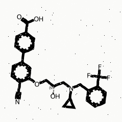 N#Cc1ccc(-c2ccc(C(=O)O)cc2)cc1OC[C@@H](O)CN(Cc1ccccc1C(F)(F)F)C1CC1